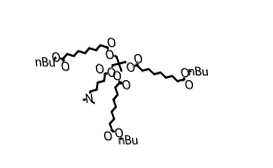 CCCCOC(=O)CCCCCCCC(=O)OCC(COC(=O)CCCCCCCC(=O)OCCCC)(COC(=O)CCCCCCCC(=O)OCCCC)COC(=O)CCCCN(C)C